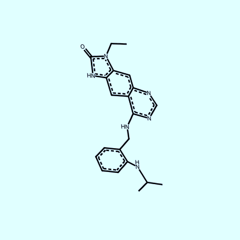 CCn1c(=O)[nH]c2cc3c(NCc4ccccc4NC(C)C)ncnc3cc21